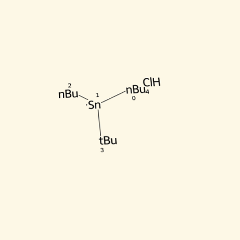 CCC[CH2][Sn]([CH2]CCC)[C](C)(C)C.Cl